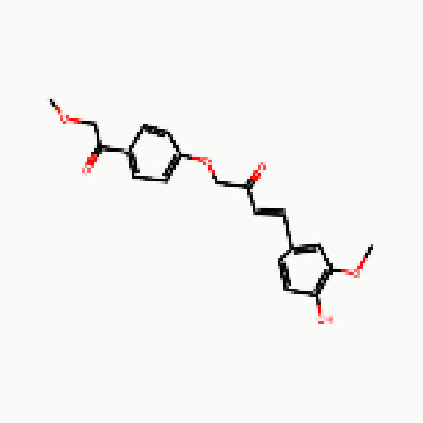 COCC(=O)c1ccc(OCC(=O)C=Cc2ccc(O)c(OC)c2)cc1